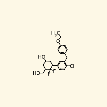 CCOc1ccc(Cc2cc(C3CC(O)CC(CO)C3(F)F)ccc2Cl)cc1